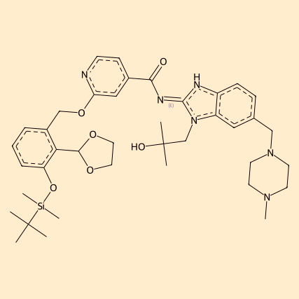 CN1CCN(Cc2ccc3[nH]/c(=N\C(=O)c4ccnc(OCc5cccc(O[Si](C)(C)C(C)(C)C)c5C5OCCO5)c4)n(CC(C)(C)O)c3c2)CC1